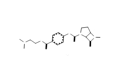 CN(C)CCNC(=O)c1ccc(NC(=O)N2CC[C@@H]3[C@H]2C(=O)N3S(=O)(=O)O)cc1.[NaH]